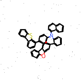 c1ccc(N(c2ccc(-c3cccc4c3sc3ccccc34)cc2)c2cccc3ccccc23)c(-c2ccc3c(c2)oc2ccccc23)c1